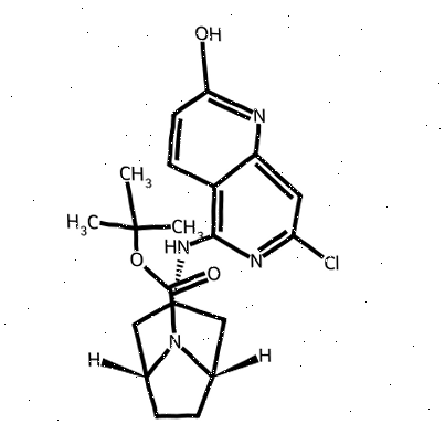 CC(C)(C)OC(=O)N1[C@@H]2CC[C@H]1C[C@@H](Nc1nc(Cl)cc3nc(O)ccc13)C2